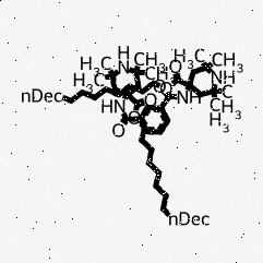 CCCCCCCCCCCCCCCCCCOC(=O)C1(NC(=O)c2cccc(C(=O)NC3(C(=O)OCCCCCCCCCCCCCCCCCC)CC(C)(C)NC(C)(C)C3)c2)CC(C)(C)NC(C)(C)C1